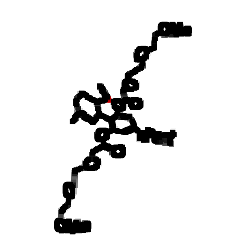 C=C(C)C1CCC(C)=CC1c1c(OC(=O)COCCOCCOC)cc(CCCCC)cc1OC(=O)COCCOCCOC